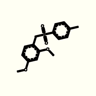 COc1ccc([CH]S(=O)(=O)c2ccc(C)cc2)c(OC)c1